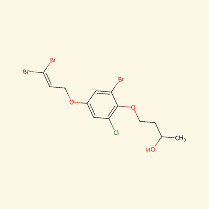 CC(O)CCOc1c(Cl)cc(OCC=C(Br)Br)cc1Br